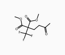 COC(=O)C(CCC(C)=O)(C(=O)OC)C(F)(F)F